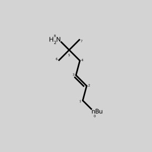 CCCCCC=CCC(C)(C)N